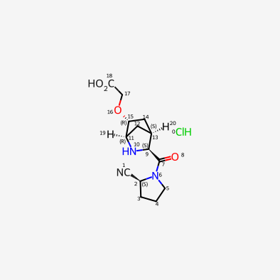 Cl.N#C[C@@H]1CCCN1C(=O)[C@H]1N[C@@H]2C[C@H]1C[C@H]2OCC(=O)O